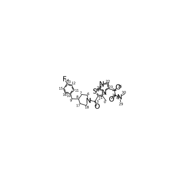 Cc1c(C(=O)N2CCC(Cc3ccc(F)cc3)CC2)sc2ncc(C(=O)C(=O)N(C)C)n12